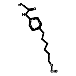 CCCC(=O)Nc1ccc(CCCCCCOC=O)cc1